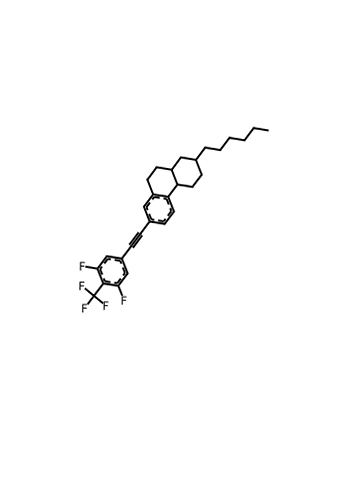 CCCCCCC1CCC2c3ccc(C#Cc4cc(F)c(C(F)(F)F)c(F)c4)cc3CCC2C1